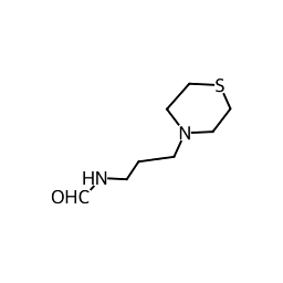 O=CNCCCN1CCSCC1